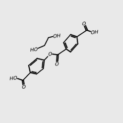 O=C(O)c1ccc(OC(=O)c2ccc(C(=O)O)cc2)cc1.OCCO